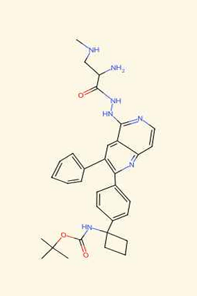 CNCC(N)C(=O)NNc1nccc2nc(-c3ccc(C4(NC(=O)OC(C)(C)C)CCC4)cc3)c(-c3ccccc3)cc12